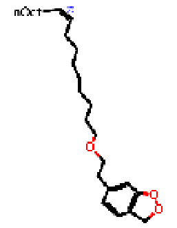 CCCCCCCC/C=C\CCCCCCCCOCCc1ccc2c(c1)OOC2